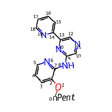 CCCCCOc1cccnc1Nc1cncc(-c2ccccn2)n1